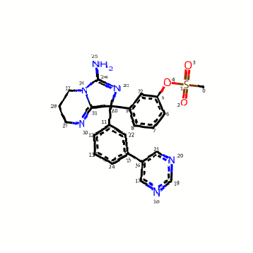 CS(=O)(=O)Oc1cccc(C2(c3cccc(-c4cncnc4)c3)N=C(N)N3CCCN=C32)c1